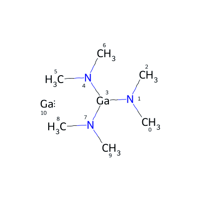 C[N](C)[Ga]([N](C)C)[N](C)C.[Ga]